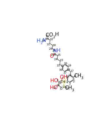 Cc1ccc([C@H]2[C@H](O)[C@H](O)[C@H](O)C[SH]2C)cc1Cc1ccc(CCCCC(=O)NCCCC[C@H](N)C(=O)O)cc1